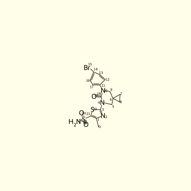 Cc1nc(N2CC3(CC3)CN(c3ccc(Br)cc3)C2=O)sc1S(N)(=O)=O